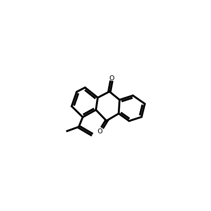 C=C(C)c1cccc2c1C(=O)c1ccccc1C2=O